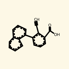 C#Cc1c(C(=O)O)cccc1-c1cccc2ccccc12